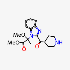 COC(=O)C(C)(OC)n1c(C(=O)C2CCNCC2)nc2ccccc21